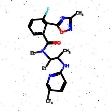 CCC(C(C)Nc1ccc(C(F)(F)F)cn1)N(CC)C(=O)c1cccc(F)c1-c1nc(C)no1